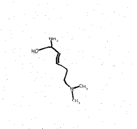 CN(C)CCC=CC(N)O